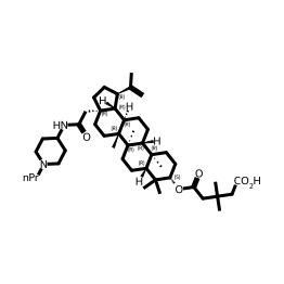 C=C(C)[C@@H]1CC[C@]2(CC(=O)NC3CCN(CCC)CC3)CC[C@]3(C)[C@H](CC[C@@H]4[C@@]5(C)CC[C@H](OC(=O)CC(C)(C)CC(=O)O)C(C)(C)[C@@H]5CC[C@]43C)[C@@H]12